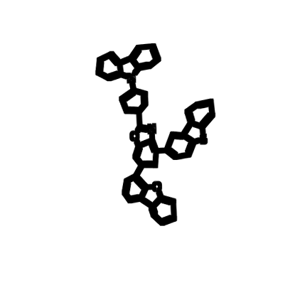 c1ccc2c(c1)oc1c(-c3cc(-c4ccc5sc6ccccc6c5c4)c4nc(-c5ccc(-n6c7ccccc7c7ccccc76)cc5)oc4c3)cccc12